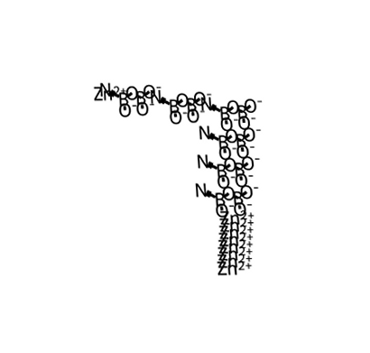 N#CB([O-])OB([O-])[O-].N#CB([O-])OB([O-])[O-].N#CB([O-])OB([O-])[O-].N#CB([O-])OB([O-])[O-].N#CB([O-])OB([O-])[O-].N#CB([O-])OB([O-])[O-].[Zn+2].[Zn+2].[Zn+2].[Zn+2].[Zn+2].[Zn+2].[Zn+2].[Zn+2].[Zn+2]